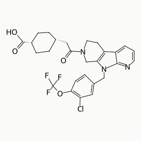 O=C(C[C@H]1CC[C@@H](C(=O)O)CC1)N1CCc2c(n(Cc3ccc(OC(F)(F)F)c(Cl)c3)c3ncccc23)C1